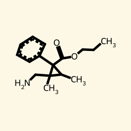 CCCOC(=O)C1(c2ccccc2)C(C)C1(C)CN